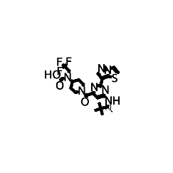 C[C@@H](Nc1cc(C(=O)N2CCC(N(CC(F)(F)F)C(=O)O)CC2)nc(-c2cnn3ccsc23)n1)C(C)(C)C